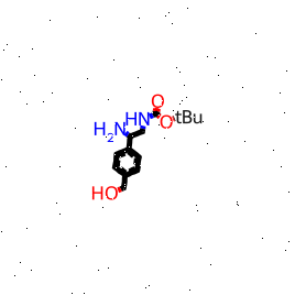 CC(C)(C)OC(=O)NCC(N)c1ccc(CO)cc1